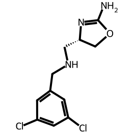 NC1=N[C@@H](CNCc2cc(Cl)cc(Cl)c2)CO1